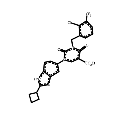 CCOC(=O)c1cn(-c2ccc3[nH]c(C4CCC4)nc3c2)c(=O)n(Cc2cccc(C(F)(F)F)c2Cl)c1=O